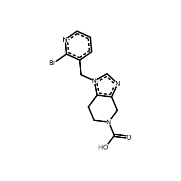 O=C(O)N1CCc2c(ncn2Cc2cccnc2Br)C1